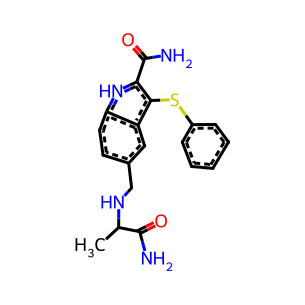 CC(NCc1ccc2[nH]c(C(N)=O)c(Sc3ccccc3)c2c1)C(N)=O